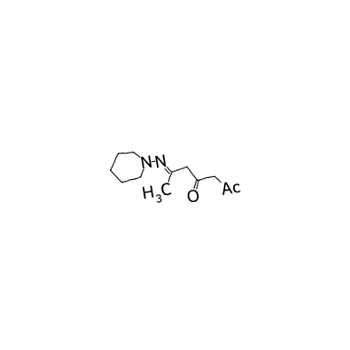 CC(=O)CC(=O)C/C(C)=N/N1CCCCC1